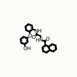 O=C(CNC(=O)c1cccc2ccccc12)Nc1ccccc1Oc1cccc(O)c1